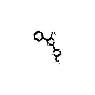 Nc1cnc(-c2nc(-c3ccccc3)c(N)s2)s1